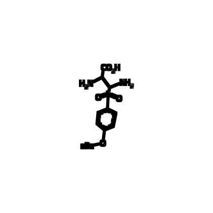 CCCCOc1ccc(S(=O)(=O)C(N)C(N)C(=O)O)cc1